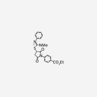 CCOC(=O)c1ccc(N2C(=O)CC(S/C(=N/c3ccccc3)NC)C2=O)cc1